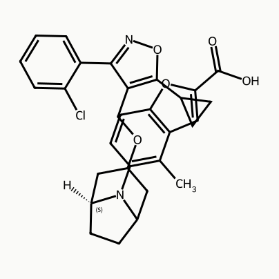 Cc1c(N2C3CC[C@H]2CC(OCc2c(-c4ccccc4Cl)noc2C2CC2)C3)ccc2oc(C(=O)O)cc12